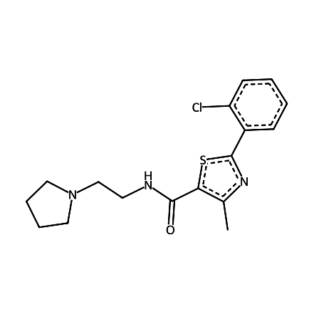 Cc1nc(-c2ccccc2Cl)sc1C(=O)NCCN1CCCC1